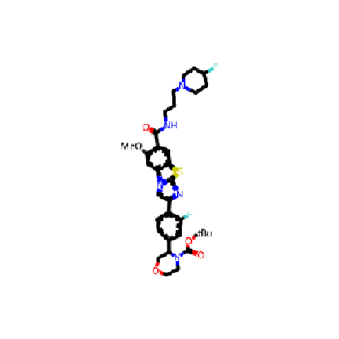 COc1cc2c(cc1C(=O)NCCCN1CCC(F)CC1)sc1nc(-c3ccc(C4COCCN4C(=O)OC(C)(C)C)cc3F)cn12